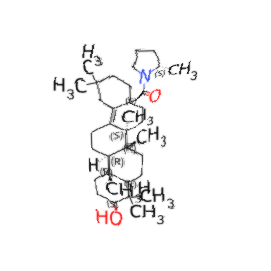 C[C@H]1CCCN1C(=O)[C@]12CCC(C)(C)CC1=C1CC[C@@H]3[C@@]4(C)CC[C@H](O)C(C)(C)[C@@H]4CC[C@@]3(C)[C@]1(C)CC2